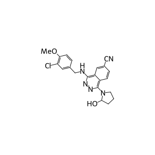 COc1ccc(CNc2nnc(N3CCCC3O)c3ccc(C#N)cc23)cc1Cl